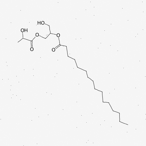 CCCCCCCCCCCCCCCC(=O)OC(CO)COC(=O)C(C)O